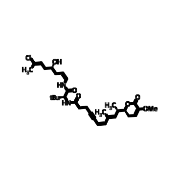 COC1=CC[C@@H]([C@@H](C)/C=C(C)/C=C\C#CCCC(=O)N[C@H](C(=O)N/C=C\C[C@@H](O)C/C=C(\C)Cl)C(C)(C)C)OC1=O